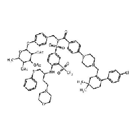 CC(=O)OC1C(C)OC(Oc2ccc(CN(C(=O)c3ccc(N4CCN(CC5=C(c6ccc(Cl)cc6)CCC(C)(C)C5)CC4)cc3)S(=O)(=O)c3ccc(NC(CCN4CCOCC4)CSc4ccccc4)c(S(=O)(=O)C(F)(F)F)c3)cc2)C(OC(C)=O)C1OC(C)=O